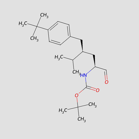 CC(C)[C@@H](Cc1ccc(C(C)(C)C)cc1)C[C@@H](C=O)NC(=O)OC(C)(C)C